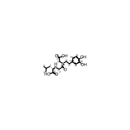 CC(C)C[C@H](N[C@@H](C)C(=O)N(CCc1ccc(O)c(O)c1)CC(=O)O)C(=O)O